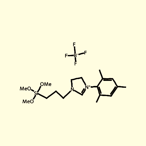 CO[Si](CCCN1C=[N+](c2c(C)cc(C)cc2C)CC1)(OC)OC.F[B-](F)(F)F